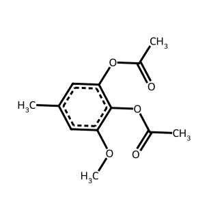 COc1cc(C)cc(OC(C)=O)c1OC(C)=O